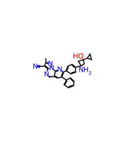 Cc1nn2c(ncc3cc(-c4ccccc4)c(-c4ccc([C@]5(N)C[C@@](O)(C6CC6)C5)cc4)nc32)c1C#N